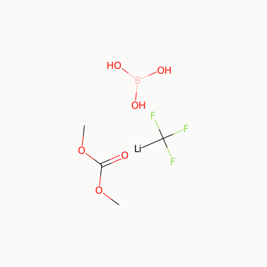 COC(=O)OC.OB(O)O.[Li][C](F)(F)F